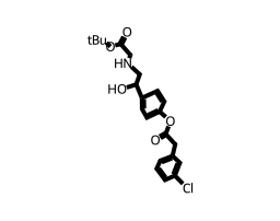 CC(C)(C)OC(=O)CNCC(O)c1ccc(OC(=O)Cc2cccc(Cl)c2)cc1